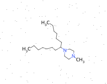 CCCCCCCC(CCCCCC)N1CCN(C)CC1